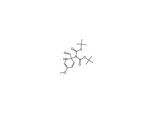 COC1=CNC(C=O)(N(C(=O)OC(C)(C)C)C(=O)OC(C)(C)C)C=C1